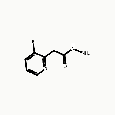 NNC(=O)Cc1ncccc1Br